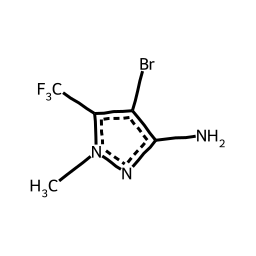 Cn1nc(N)c(Br)c1C(F)(F)F